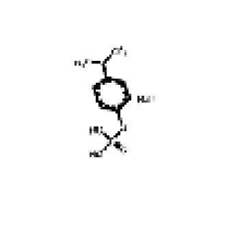 CC(C)c1ccc(OP(=O)(O)O)cc1.[NaH]